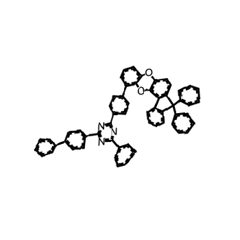 c1ccc(-c2ccc(-c3nc(-c4ccccc4)nc(-c4ccc(-c5cccc6c5Oc5c(ccc7c5-c5ccccc5C7(c5ccccc5)c5ccccc5)O6)cc4)n3)cc2)cc1